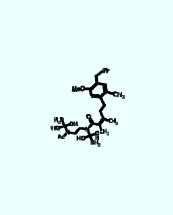 BC(O)(O)N(CCN(C(=O)/C(C)=C(/C)CCc1cc(OC)c(CC(C)C)cc1C)C(B)(O)O)C(C)=O